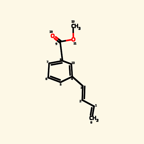 C=CC=Cc1cccc(C(=O)OC)c1